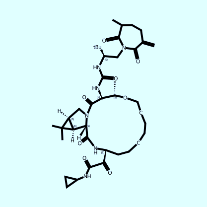 C=C1CCC(C)C(=O)N(C[C@@H](NC(=O)N[C@@H]2C(=O)N3C[C@H]4[C@@H]([C@H]3C(=O)N[C@H](C(=O)C(=O)NC3CC3)CCCCCCCO[C@H]2C)C4(C)C)C(C)(C)C)C1=O